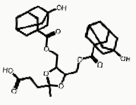 CC1(CCC(=O)O)OC(COC(=O)C23CC4CC(CC(O)(C4)C2)C3)C(COC(=O)C23CC4CC(CC(O)(C4)C2)C3)O1